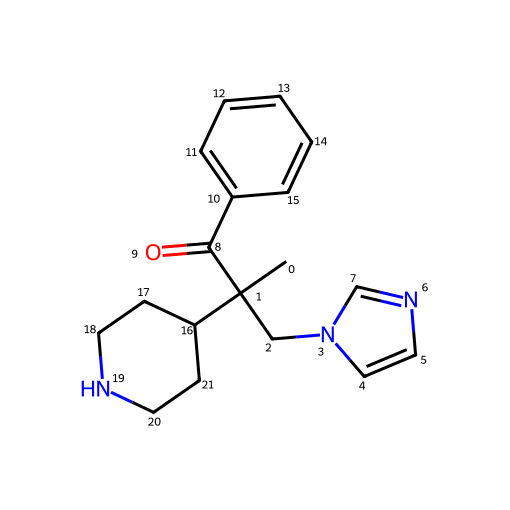 CC(Cn1ccnc1)(C(=O)c1ccccc1)C1CCNCC1